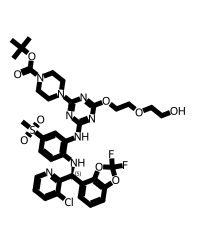 CC(C)(C)OC(=O)N1CCN(c2nc(Nc3cc(S(C)(=O)=O)ccc3N[C@@H](c3cccc4c3OC(F)(F)O4)c3ncccc3Cl)nc(OCCOCCO)n2)CC1